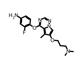 Cc1c(OCCCN(C)C)cn2ncnc(Oc3ccc(N)cc3F)c12